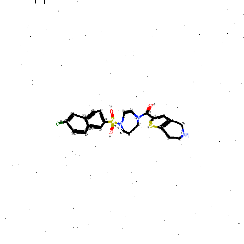 O=C(c1cc2c(s1)CCNC2)N1CCCN(S(=O)(=O)c2ccc3cc(Cl)ccc3c2)CC1